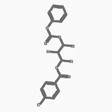 CCC(OC(=O)Oc1ccccc1)C(CC)C(CC)OC(=O)c1ccc(Cl)cc1